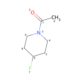 CC(=O)N1CCC(F)CC1